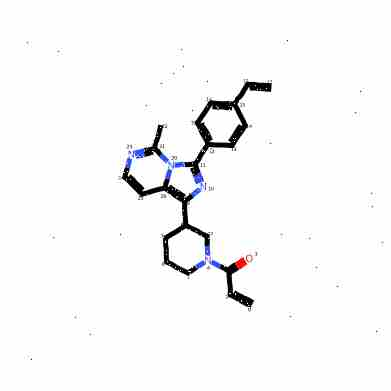 C=CC(=O)N1CCCC(c2nc(-c3ccc(C=C)cc3)n3c(C)nccc23)C1